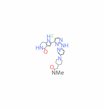 CNC(=O)CC1CCN(c2ccc(Nc3ncc(F)c(-c4cc5c([nH]4)CCNC5=O)n3)nc2)CC1